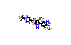 COc1cc(-c2[nH]c3sc(C4CCN(C5COC5)CC4)nc3c2C(C)C)cn2ncnc12